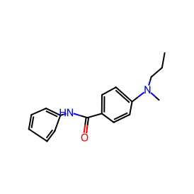 CCCN(C)c1ccc(C(=O)Nc2ccccc2)cc1